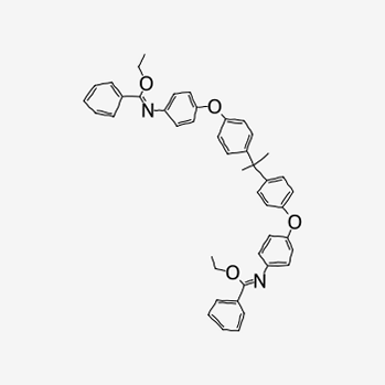 CCOC(=Nc1ccc(Oc2ccc(C(C)(C)c3ccc(Oc4ccc(N=C(OCC)c5ccccc5)cc4)cc3)cc2)cc1)c1ccccc1